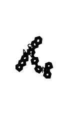 c1cc(-c2ccc(-c3cc4c5cc6ccccc6cc5sc4c4nc5cc6cc7ccccc7cc6cc5n34)cc2)cc(-n2c3ccccc3c3ccccc32)c1